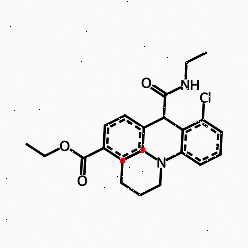 CCNC(=O)C(c1ccc(C(=O)OCC)cc1)c1c(Cl)cccc1N1CCCCC1